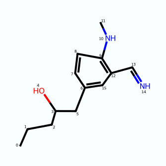 CCCC(O)Cc1ccc(NC)c(C=N)c1